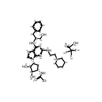 CCC(=O)N[C@H]1C[C@@H](n2cnc3c(N[C@H](CO)Cc4ccccc4)nc(NCCN4CCCCC4)nc32)[C@H](O)[C@@H]1O.O=C(O)C(F)(F)F